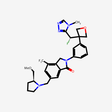 COC[C@@H]1CCCN1Cc1cc2c(c(C(F)(F)F)c1)CN(c1cccc(C3([C@H](F)c4nncn4C)COC3)c1)C2=O